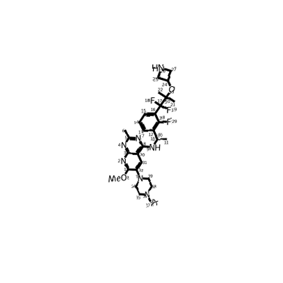 COc1nc2nc(C)nc(N[C@H](C)c3cccc(C(F)(F)C(C)(C)OC4CNC4)c3F)c2cc1N1CCN(C(C)C)CC1